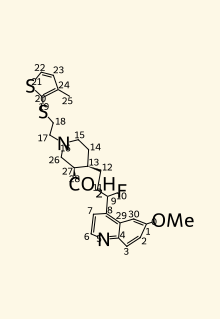 COc1ccc2nccc(C(F)CC[C@@H]3CCN(CCSc4sccc4C)C[C@@H]3C(=O)O)c2c1